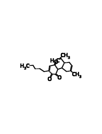 C=C(C)C1CC=C(C)CC1C1C(=O)C=C(CCCCC)C(=O)C1=O